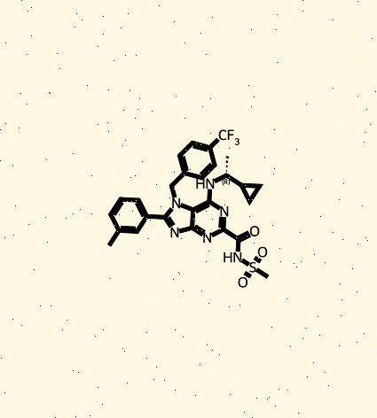 Cc1cccc(-c2nc3nc(C(=O)NS(C)(=O)=O)nc(N[C@H](C)C4CC4)c3n2Cc2ccc(C(F)(F)F)cc2)c1